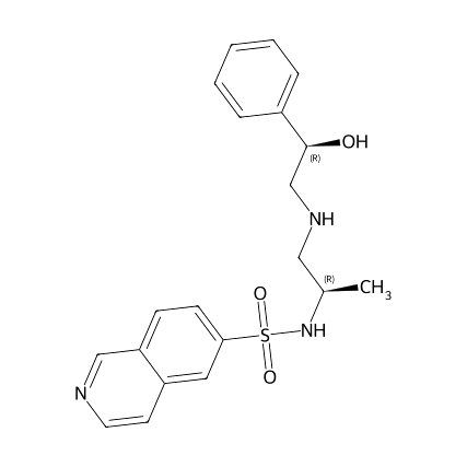 C[C@H](CNC[C@H](O)c1ccccc1)NS(=O)(=O)c1ccc2cnccc2c1